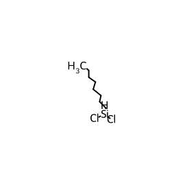 CCCCCCCC[SiH](Cl)Cl